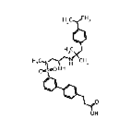 CC(C)c1ccc(CC(C)(C)NCC(O)CN(C)S(=O)(=O)c2cccc(-c3ccc(CCC(=O)O)cc3)c2)cc1